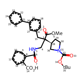 COC(=O)C(CNC(=O)c1ccccc1C(=O)O)(Cc1cccc(-c2ccccc2)c1)[C@H]1CCN(C(=O)OC(C)(C)C)C1